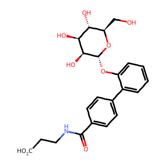 O=C(O)CCNC(=O)c1ccc(-c2ccccc2O[C@H]2O[C@H](CO)[C@@H](O)[C@H](O)[C@@H]2O)cc1